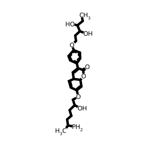 CCC(O)C(O)CCOc1ccc(C2=CC3C=CC(OCC(O)CCCC(C)P)=CC3OC2=O)cc1